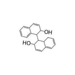 OC1C=Cc2ccccc2C1C1C(O)C=CC2=CC=CCC21